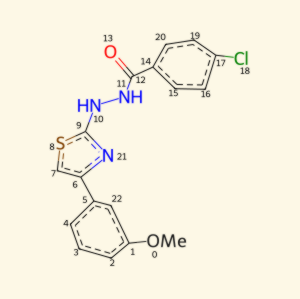 COc1cccc(-c2csc(NNC(=O)c3ccc(Cl)cc3)n2)c1